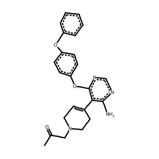 CC(=O)CN1CC=C(c2c(N)ncnc2Oc2ccc(Oc3ccccc3)cc2)CC1